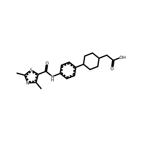 Cc1nc(C)c(C(=O)Nc2ccc(C3CCC(CC(=O)O)CC3)cc2)s1